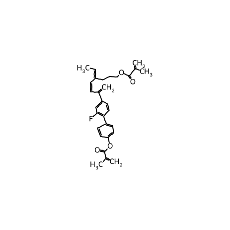 C=C(C)C(=O)OCCCC(/C=C\C(=C)c1ccc(-c2ccc(OC(=O)C(=C)C)cc2)c(F)c1)=C/C